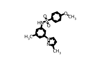 COc1ccc(S(=O)(=O)Nc2cc(C)cc(-n3ccc(C)n3)c2)cc1